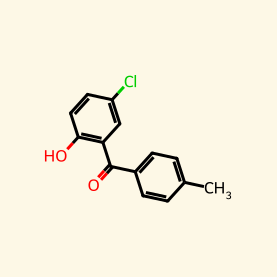 Cc1ccc(C(=O)c2cc(Cl)ccc2O)cc1